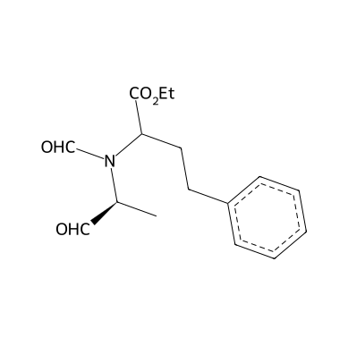 CCOC(=O)C(CCc1ccccc1)N(C=O)[C@@H](C)C=O